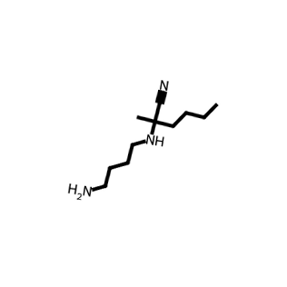 CCCCC(C)(C#N)NCCCCN